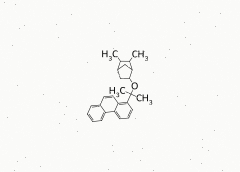 CC1C2CC(OC(C)(C)c3cccc4c3ccc3ccccc34)C(C2)C1C